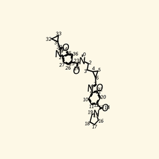 CN(CCC1CC1c1nc2ccc(C(=O)N3CCCC3)cc2o1)C(=O)c1ccc2nc(C3CC3)oc2c1